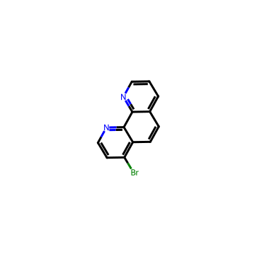 Brc1ccnc2c1ccc1cccnc12